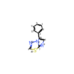 c1ccc(-c2cnc3scnn23)cc1